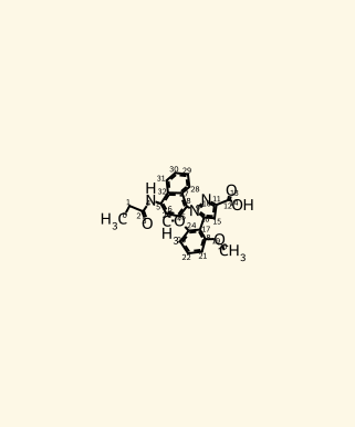 CCC(=O)Nc1ccc(-n2nc(C(=O)O)cc2-c2c(OC)cccc2OC)c2ccccc12